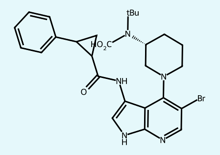 CC(C)(C)N(C(=O)O)[C@@H]1CCCN(c2c(Br)cnc3[nH]cc(NC(=O)C4CC4c4ccccc4)c23)C1